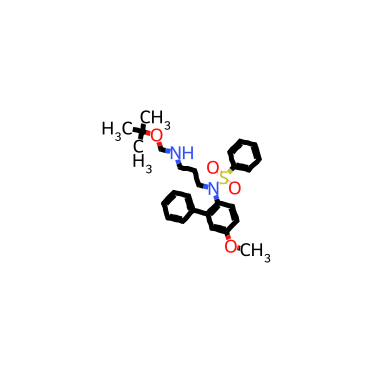 COc1ccc(N(CCCNCOC(C)(C)C)S(=O)(=O)c2ccccc2)c(-c2ccccc2)c1